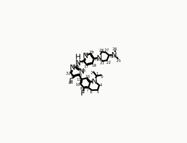 CC(C)N1CCCc2c(F)cc(-c3nc(Nc4ccc(N5CCC(N(C)C)CC5)cn4)ncc3F)cc21